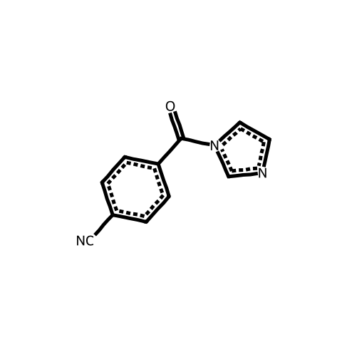 N#Cc1ccc(C(=O)n2ccnc2)cc1